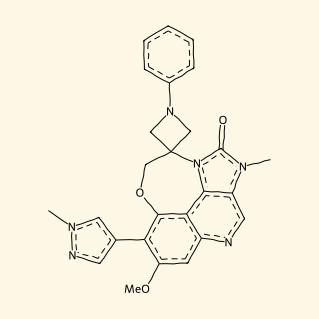 COc1cc2ncc3c4c2c(c1-c1cnn(C)c1)OCC1(CN(c2ccccc2)C1)n4c(=O)n3C